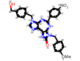 COc1ccc(Cn2c3nc(-c4ccc([N+](=O)[O-])cc4)nc4c(ncn4Cc4ccc(CO)cc4)c-3nc2=O)cc1